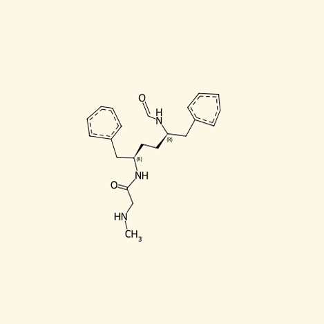 CNCC(=O)N[C@H](CC[C@H](Cc1ccccc1)NC=O)Cc1ccccc1